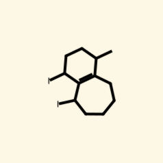 CC1CCC(I)C2=C1CCCCC2I